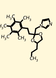 CCCC1COC(CCc2c(C)c(C)c(C)c(C)c2C)(Cn2ccnc2)O1